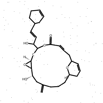 C=C1CCC[C@@H]2CC=CC(C/C=C\C(=O)OC(C(O)/C=C/C3CC=CCC3)C[C@@H]3OC3[C@@H](O)C1)O2